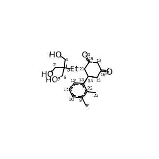 CCC(CO)(CO)CO.Cc1cccc(C2CC(=O)CC(=O)C2)c1C